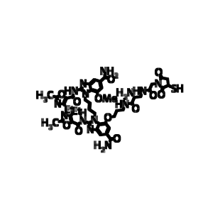 CCc1nc(C)oc1C(=O)Nc1nc2cc(C(N)=O)cc(OC)c2n1C/C=C/Cn1c(NC(=O)c2oc(C)nc2CC)nc2cc(C(N)=O)cc(OCCCNC(=O)[C@H](N)CNC(=O)CN3C(=O)CC(S)C3=O)c21